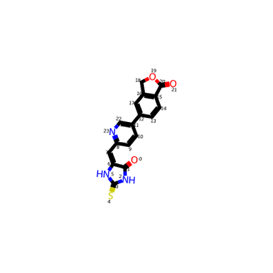 O=C1NC(=S)N/C1=C/c1ccc(-c2ccc3c(c2)COC3=O)cn1